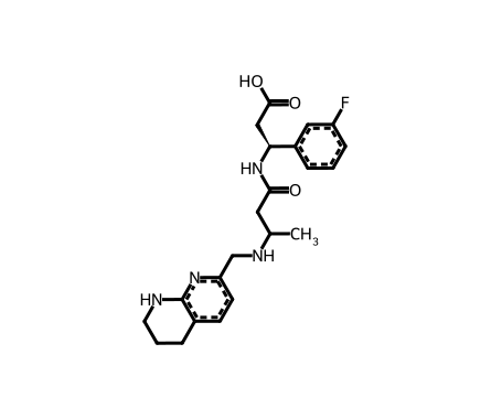 CC(CC(=O)N[C@@H](CC(=O)O)c1cccc(F)c1)NCc1ccc2c(n1)NCCC2